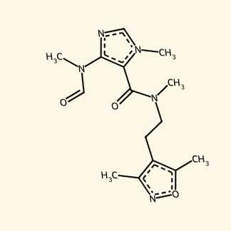 Cc1noc(C)c1CCN(C)C(=O)c1c(N(C)C=O)ncn1C